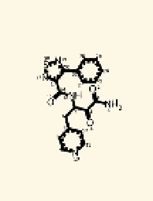 NC(=O)C(=O)C(Cc1ccncc1)NC(=O)c1nsnc1-c1ccccc1